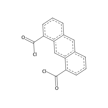 O=C(Cl)c1cccc2cc3cccc(C(=O)Cl)c3cc12